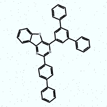 c1ccc(-c2ccc(-c3nc(-c4cc(-c5ccccc5)cc(-c5ccccc5)c4)c4oc5ccccc5c4n3)cc2)cc1